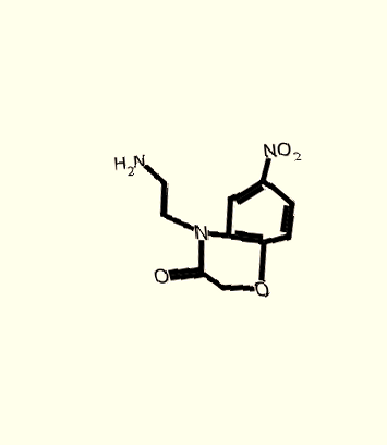 NCCN1C(=O)COc2ccc([N+](=O)[O-])cc21